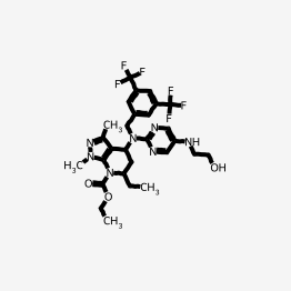 CCOC(=O)N1c2c(c(C)nn2C)C(N(Cc2cc(C(F)(F)F)cc(C(F)(F)F)c2)c2ncc(NCCO)cn2)CC1CC